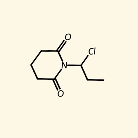 CCC(Cl)N1C(=O)CCCC1=O